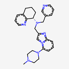 CN1CCN(c2cccc3nc(CN(Cc4cccnc4)[C@H]4CCCc5cccnc54)cn23)CC1